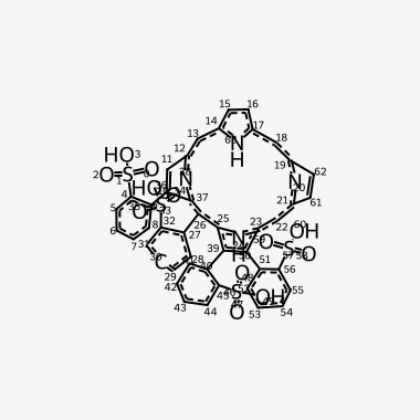 O=S(=O)(O)c1ccccc1C1=Cc2cc3ccc(cc4nc(cc5[nH]c(c(-c6ccccc6S(=O)(=O)O)c1n2)c(-c1ccccc1S(=O)(=O)O)c5-c1ccccc1S(=O)(=O)O)C=C4)[nH]3